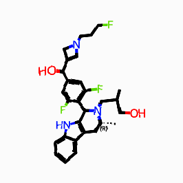 CC(CO)CN1C(c2c(F)cc(C(O)C3CN(CCCF)C3)cc2F)c2[nH]c3ccccc3c2C[C@H]1C